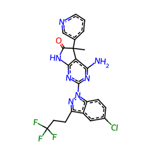 CC1(c2cccnc2)C(=O)Nc2nc(-n3nc(CCC(F)(F)F)c4cc(Cl)ccc43)nc(N)c21